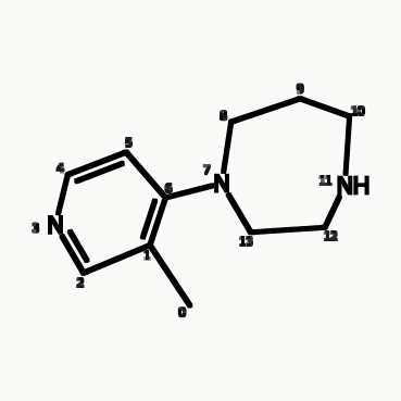 Cc1cnccc1N1CCCNCC1